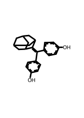 Oc1ccc(C(=C2C3CC4CC(C3)CC2C4)c2ccc(O)cc2)cc1